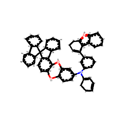 C1=CCCC(N(c2cccc(C3=CCCc4oc5ccccc5c43)c2)c2ccc3c(c2)Oc2c(ccc4c2-c2ccccc2C42c4ccccc4-c4ccccc42)O3)=C1